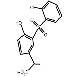 CC(C(=O)O)c1ccc(O)c(S(=O)(=O)c2ccccc2Cl)c1